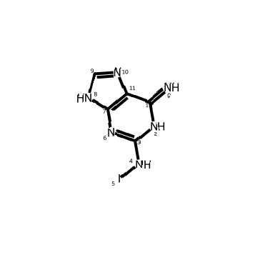 N=c1[nH]c(NI)nc2[nH]cnc12